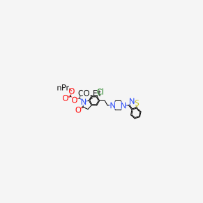 CCCOC(=O)OC(C(=O)OCC)N1C(=O)Cc2cc(CCN3CCN(c4nsc5ccccc45)CC3)c(Cl)cc21